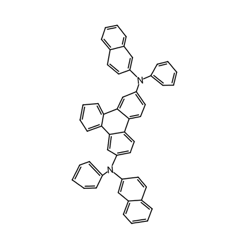 c1ccc(N(c2ccc3ccccc3c2)c2ccc3c4ccc(N(c5ccccc5)c5ccc6ccccc6c5)cc4c4ccccc4c3c2)cc1